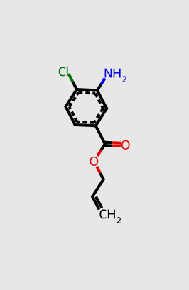 C=CCOC(=O)c1ccc(Cl)c(N)c1